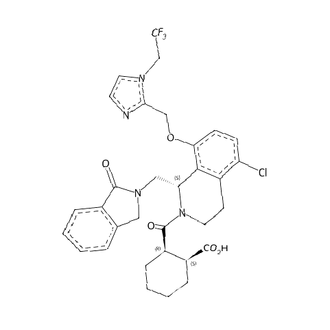 O=C(O)[C@H]1CCCC[C@H]1C(=O)N1CCc2c(Cl)ccc(OCc3nccn3CC(F)(F)F)c2[C@H]1CN1Cc2ccccc2C1=O